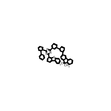 CC1(C)c2ccccc2-c2cc(-c3cccc(-c4cccc(-c5nc(-c6ccccc6-c6ccccc6)nc(-c6cccc7c6sc6ccccc67)n5)c4)c3)ccc21